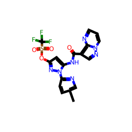 Cc1ccc(-n2nc(OS(=O)(=O)C(F)(F)F)cc2NC(=O)c2cnn3cccnc23)nc1